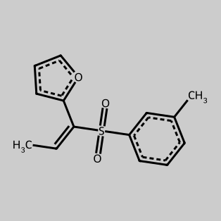 CC=C(c1ccco1)S(=O)(=O)c1cccc(C)c1